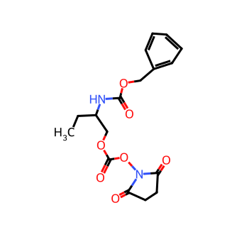 CCC(COC(=O)ON1C(=O)CCC1=O)NC(=O)OCc1ccccc1